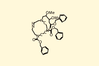 COC(CC(=O)OCc1ccccc1)C(CN1CCNCCN(C(=O)OCc2ccccc2)CCN(C(=O)OCc2ccccc2)CC1)OC